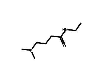 CCNC(=O)CCCP(C)C